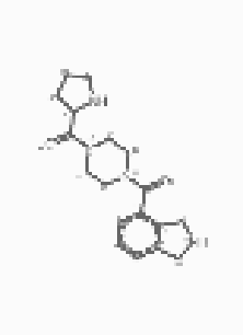 O=C(c1cccc2c1CNC2)N1CCN(C(=O)C2CCCN2)CC1